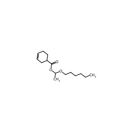 CCCCCCOC(C)OC(=O)C1CC=CCC1